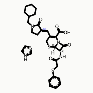 O=C(CSc1ccccc1)N[C@@H]1C(=O)N2C(C(=O)O)=C(/C=C3\CCN(CC4CCCCC4)C3=O)CS[C@H]12.c1c[nH]cn1